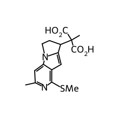 CSc1nc(C)cc2c1cc1n2CCC1C(C)(C(=O)O)C(=O)O